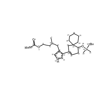 CNC(=O)OCCN(C)Cc1c[nH]nc1C1=CCC(O[Si](C)(C)C(C)(C)C)C2(CCCCC2)C1